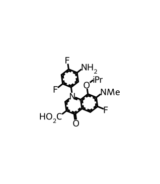 CNc1c(F)cc2c(=O)c(C(=O)O)cn(-c3cc(N)c(F)cc3F)c2c1OC(C)C